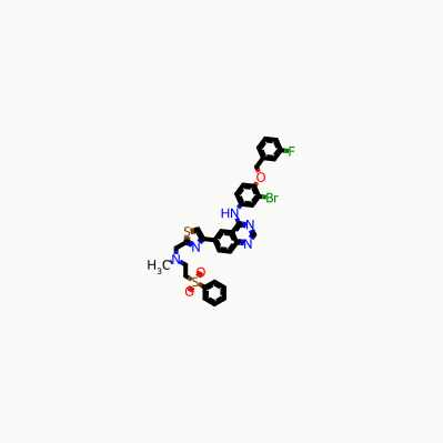 CN(CCS(=O)(=O)c1ccccc1)Cc1nc(-c2ccc3ncnc(Nc4ccc(OCc5cccc(F)c5)c(Br)c4)c3c2)cs1